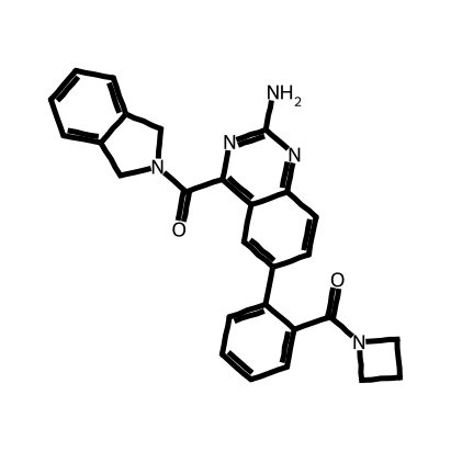 Nc1nc(C(=O)N2Cc3ccccc3C2)c2cc(-c3ccccc3C(=O)N3CCC3)ccc2n1